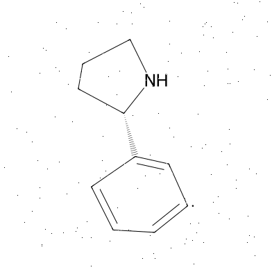 [c]1cccc([C@@H]2CCCN2)c1